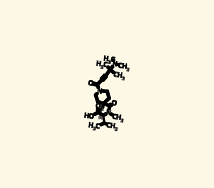 CC(C)[C@@H](C(=O)O)N(C)C(=O)C1(F)CCN(C(=O)C#CC(C)(C)N(C)C)CC1